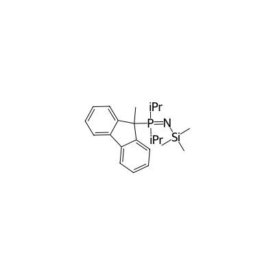 CC(C)P(=N[Si](C)(C)C)(C(C)C)C1(C)c2ccccc2-c2ccccc21